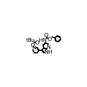 CC(C)(C)C(=O)ON1C=C(c2c[nH]c3ncc(NC(=O)OCc4ccccc4)cc23)CCC1